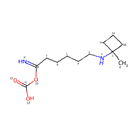 CC1(NCCCCCC(=N)OC(=O)O)CCC1